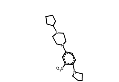 O=[N+]([O-])c1cc(N2CCN(C3CCCC3)CC2)ccc1N1CCCC1